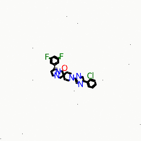 O=C1N2[C@H](c3cc(F)cc(F)c3)CCN2CC12CCN(c1cnc(-c3ccccc3Cl)cn1)CC2